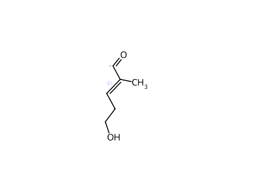 C/C([C]=O)=C\CCO